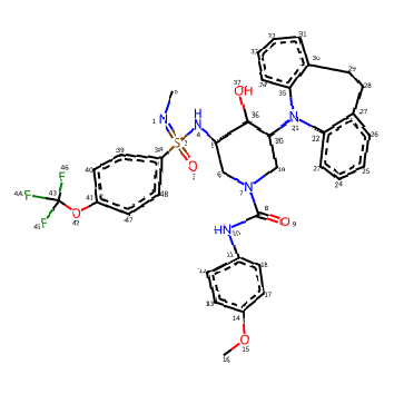 CN=S(=O)(NC1CN(C(=O)Nc2ccc(OC)cc2)CC(N2c3ccccc3CCc3ccccc32)C1O)c1ccc(OC(F)(F)F)cc1